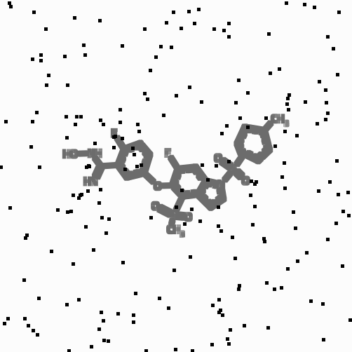 Cc1ccc(S(=O)(=O)n2ccc3c(S(C)(=O)=O)c(Oc4ccc(F)c(C(=N)NO)c4)c(F)cc32)cc1